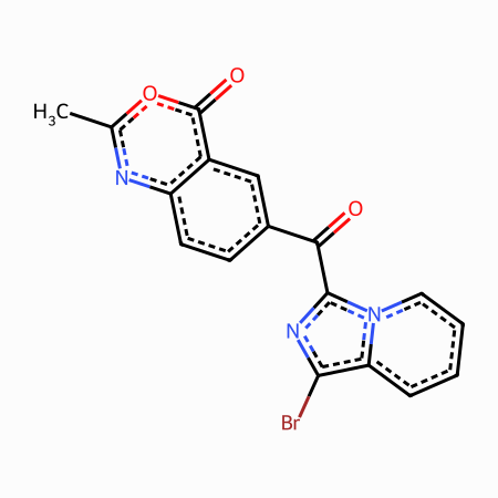 Cc1nc2ccc(C(=O)c3nc(Br)c4ccccn34)cc2c(=O)o1